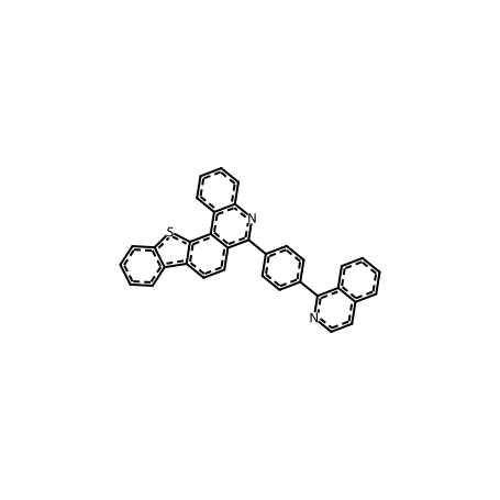 c1ccc2c(-c3ccc(-c4nc5ccccc5c5c4ccc4c6ccccc6sc45)cc3)nccc2c1